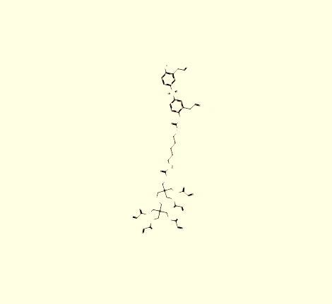 C=CCc1cc(S(=O)(=O)c2ccc(OC(=O)NCCCCCNC(=O)OCC(COCC(COC(=O)C=C)(COC(=O)C=C)COC(=O)C=C)(COC(=O)C=C)COC(=O)C=C)c(CC=C)c2)ccc1O